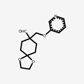 O=CC1(COc2cccnc2)CCC2(CC1)OCCO2